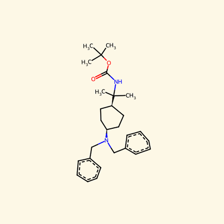 CC(C)(C)OC(=O)NC(C)(C)[C@H]1CC[C@@H](N(Cc2ccccc2)Cc2ccccc2)CC1